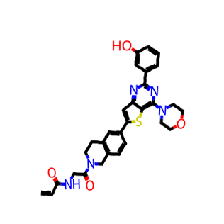 C=CC(=O)NCC(=O)N1CCc2cc(-c3cc4nc(-c5cccc(O)c5)nc(N5CCOCC5)c4s3)ccc2C1